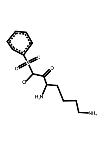 NCCCCC(N)C(=O)C(Cl)S(=O)(=O)c1ccccc1